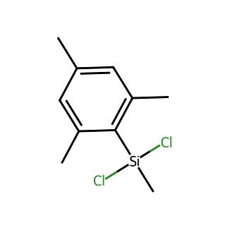 Cc1cc(C)c([Si](C)(Cl)Cl)c(C)c1